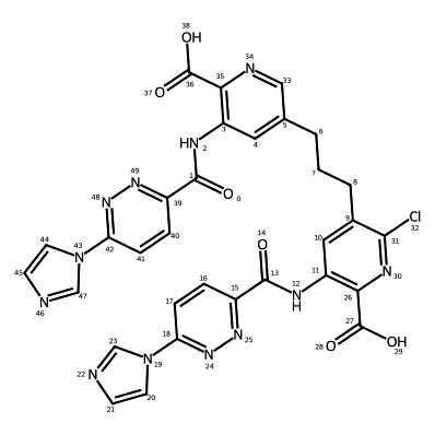 O=C(Nc1cc(CCCc2cc(NC(=O)c3ccc(-n4ccnc4)nn3)c(C(=O)O)nc2Cl)cnc1C(=O)O)c1ccc(-n2ccnc2)nn1